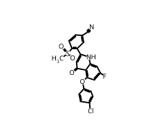 CS(=O)(=O)c1ccc(C#N)cc1-c1cc(=O)c2c(Oc3ccc(Cl)cc3)cc(F)cc2[nH]1